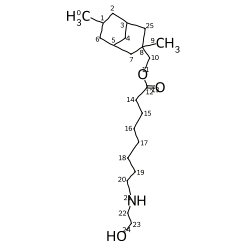 CC1CC2CC(C1)CC(C)(COC(=O)CCCCCCCNCCO)C2